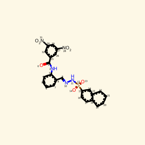 O=C(Nc1ccccc1C=NNS(=O)(=O)c1ccc2ccccc2c1)c1cc([N+](=O)[O-])cc([N+](=O)[O-])c1